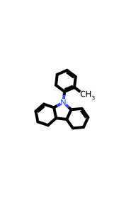 CC1=C(N2C3C=CCCC3C3CCC=CC32)CCC=C1